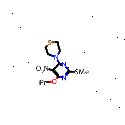 CSc1nc(OC(C)C)c([N+](=O)[O-])c(N2CCSCC2)n1